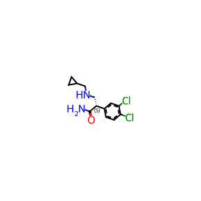 NC(=O)[C@H](CNCC1CC1)c1ccc(Cl)c(Cl)c1